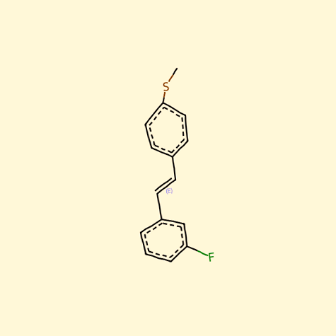 CSc1ccc(/C=C/c2cccc(F)c2)cc1